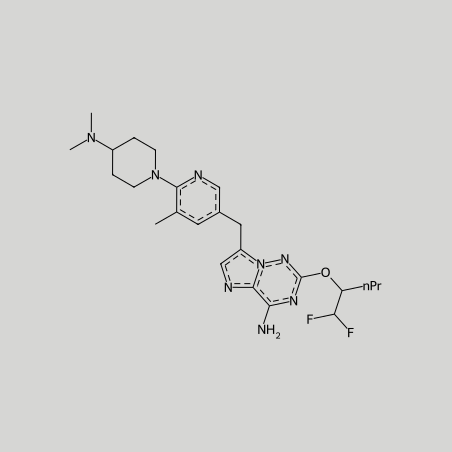 CCCC(Oc1nc(N)c2ncc(Cc3cnc(N4CCC(N(C)C)CC4)c(C)c3)n2n1)C(F)F